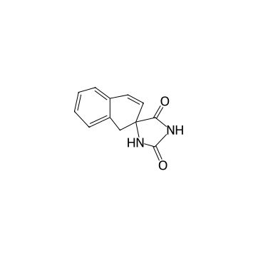 O=C1NC(=O)C2(C=Cc3ccccc3C2)N1